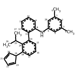 Cc1cc(C)cc(Nc2ccccc2-c2cccc(C3C=CC=C3)c2C(C)C)c1